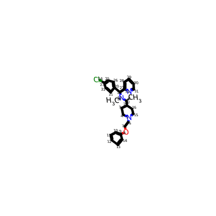 C[C@@H](C1CCN(CCOc2ccccc2)CC1)N(C)C(c1ccc(Cl)cc1)c1ccccn1